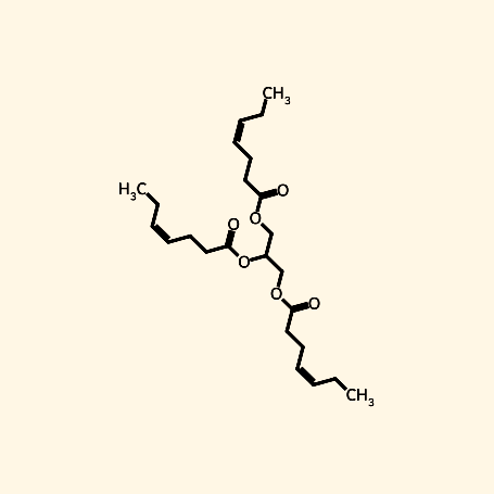 CC/C=C\CCC(=O)OCC(COC(=O)CC/C=C\CC)OC(=O)CC/C=C\CC